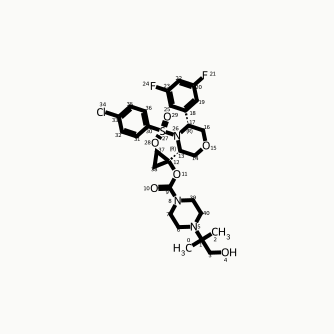 CC(C)(CO)N1CCN(C(=O)OC2([C@H]3COC[C@@H](c4cc(F)cc(F)c4)N3S(=O)(=O)c3ccc(Cl)cc3)CC2)CC1